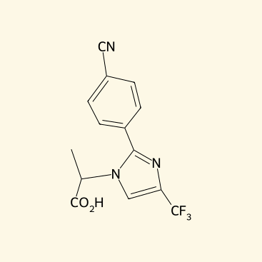 CC(C(=O)O)n1cc(C(F)(F)F)nc1-c1ccc(C#N)cc1